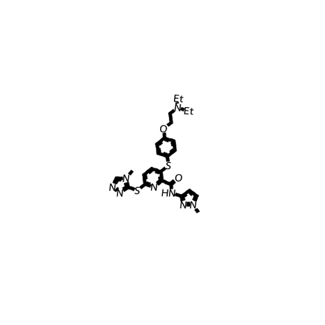 CCN(CC)CCOc1ccc(Sc2ccc(Sc3nncn3C)nc2C(=O)Nc2ccn(C)n2)cc1